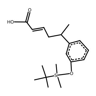 CC(CC=CC(=O)O)c1cccc(O[Si](C)(C)C(C)(C)C)c1